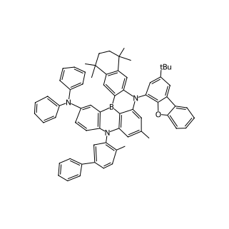 Cc1cc2c3c(c1)N(c1cc(C(C)(C)C)cc4c1oc1ccccc14)c1cc4c(cc1B3c1cc(N(c3ccccc3)c3ccccc3)ccc1N2c1cc(-c2ccccc2)ccc1C)C(C)(C)CCC4(C)C